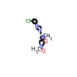 CC(=O)N1CCC2(CC1)C[C@H](CCN1CCN(c3cccc(Cl)c3)CC1)N(C)C2=O